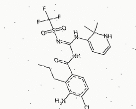 CCCc1c(C(=O)NC(=NS(=O)(=O)C(F)(F)F)NC2=CC=CNC2(C)C)ccc(Cl)c1N